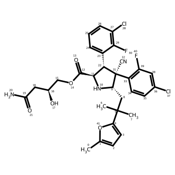 Cc1ccc(C(C)(C)C[C@@H]2N[C@@H](C(=O)OC[C@@H](O)CC(N)=O)[C@H](c3cccc(Cl)c3F)[C@@]2(C#N)c2ccc(Cl)cc2F)o1